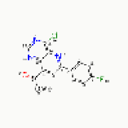 COC(=O)c1cc(-c2ccc(F)cc2)nc2c(Cl)ncnc12